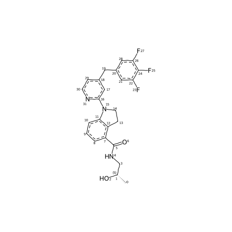 C[C@H](O)CNC(=O)c1cccc2c1CCN2c1cc(Cc2cc(F)c(F)c(F)c2)ccn1